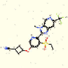 CCS(=O)(=O)c1cc(OC2CC(C#N)C2)cnc1-c1nc2cc(C(F)(F)F)ncc2n1C